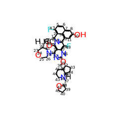 C#Cc1c(F)ccc2cc(O)cc(-c3nc(OC)c4c(N5CCCOCC5)nc(OC[C@]56CCC[C@H]5N(C[C@@H]5CCCO5)CCC6)nc4c3F)c12